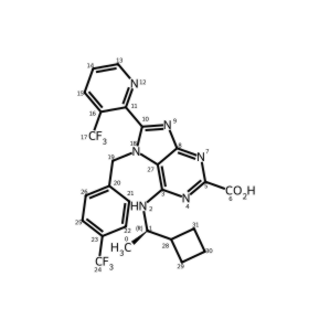 C[C@@H](Nc1nc(C(=O)O)nc2nc(-c3ncccc3C(F)(F)F)n(Cc3ccc(C(F)(F)F)cc3)c12)C1CCC1